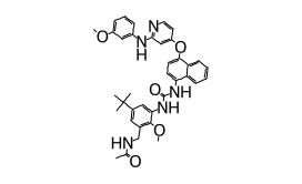 COc1cccc(Nc2cc(Oc3ccc(NC(=O)Nc4cc(C(C)(C)C)cc(CNC(C)=O)c4OC)c4ccccc34)ccn2)c1